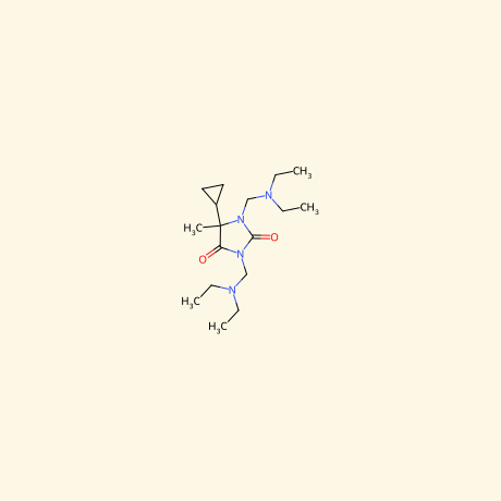 CCN(CC)CN1C(=O)N(CN(CC)CC)C(C)(C2CC2)C1=O